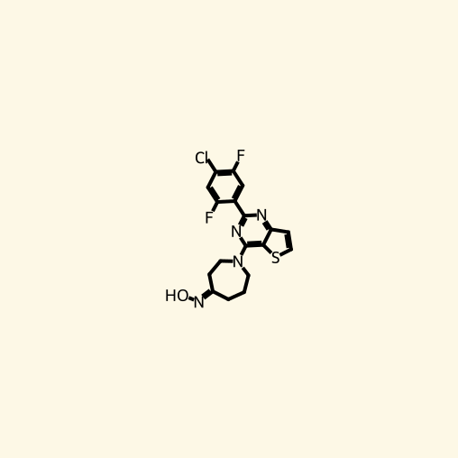 ON=C1CCCN(c2nc(-c3cc(F)c(Cl)cc3F)nc3ccsc23)CC1